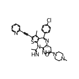 CC(=N)N1C(=N)[C@H](CC(=O)N2CCN(C)CC2)N=C(c2ccc(Cl)cc2)c2c1sc(C#Cc1ccccn1)c2C